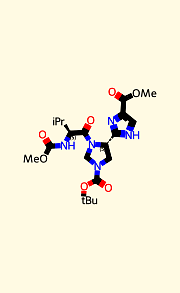 COC(=O)N[C@H](C(=O)N1CN(C(=O)OC(C)(C)C)C[C@H]1c1nc(C(=O)OC)c[nH]1)C(C)C